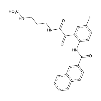 O=C(O)NCCCNC(=O)C(=O)c1cc(F)ccc1NC(=O)c1ccc2ccccc2c1